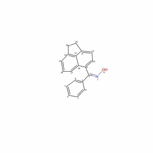 O/N=C(/c1ccccc1)c1ccc2c3c(cccc13)CC2